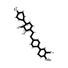 CCCCC1CCC(C2CCC(CCC3CCC(C4CCC(CC)CC4)C(F)[C@H]3F)CC2)CC1F